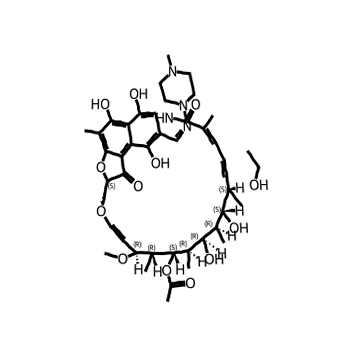 CCO.CO[C@H]1C=CO[C@@]2(C)Oc3c(C)c(O)c4c(O)c(c(C=NN5CCN(C)CC5)c(O)c4c3C2=O)NC(=O)C(C)=CC=C[C@H](C)[C@H](O)[C@@H](C)[C@@H](O)[C@@H](C)[C@H](OC(C)=O)[C@@H]1C